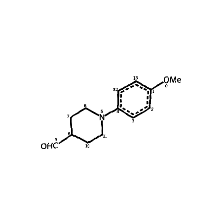 COc1ccc(N2CCC(C=O)CC2)cc1